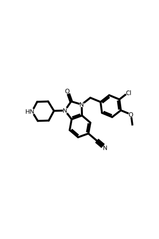 COc1ccc(Cn2c(=O)n(C3CCNCC3)c3ccc(C#N)cc32)cc1Cl